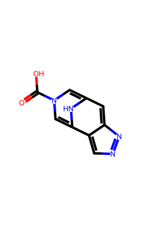 O=C(O)N1C=c2cc3nncc-3c([nH]2)=C1